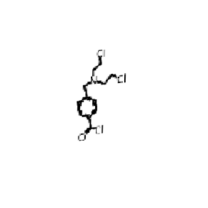 O=C(Cl)c1ccc(CN(CCCl)CCCl)cc1